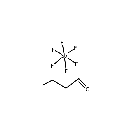 CCCC=O.[F][Sb-]([F])([F])([F])([F])[F]